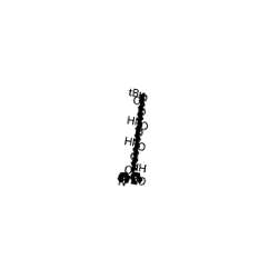 CN1C(=O)C[C@H](C(=O)NCCOCCC(=O)NCCOCC(=O)NCCOCCC(=O)OC(C)(C)C)[C@H]1c1cccnc1